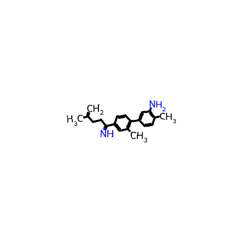 C=C(C)CCC(=N)c1ccc(-c2ccc(C)c(N)c2)c(C)c1